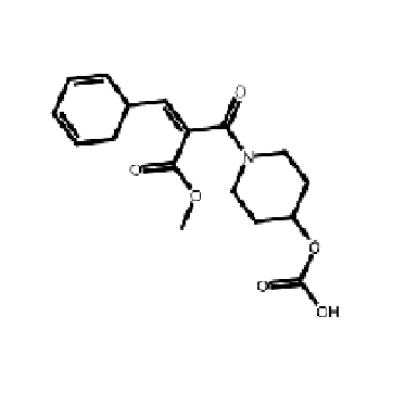 COC(=O)C(=CC1C=CC=CC1)C(=O)N1CCC(OC(=O)O)CC1